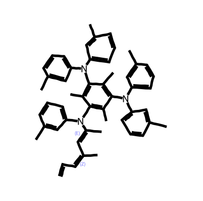 C=C/C=C(C)\C=C(/C)N(c1cccc(C)c1)c1c(C)c(N(c2cccc(C)c2)c2cccc(C)c2)c(C)c(N(c2cccc(C)c2)c2cccc(C)c2)c1C